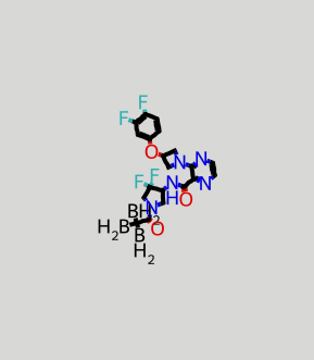 BC(B)(B)C(=O)N1CC(NC(=O)c2nccnc2N2CC(Oc3ccc(F)c(F)c3)C2)C(F)(F)C1